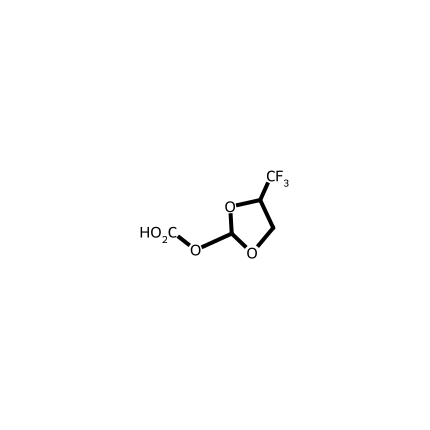 O=C(O)OC1OCC(C(F)(F)F)O1